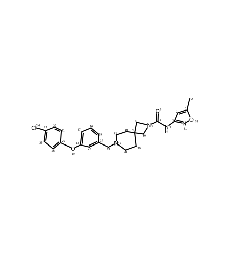 Cc1cc(NC(=O)N2CC3(CCN(Cc4cccc(Oc5ccc(Cl)cc5)c4)CC3)C2)no1